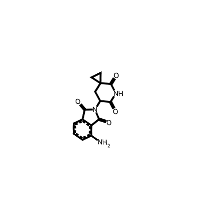 Nc1cccc2c1C(=O)N(C1CC3(CC3)C(=O)NC1=O)C2=O